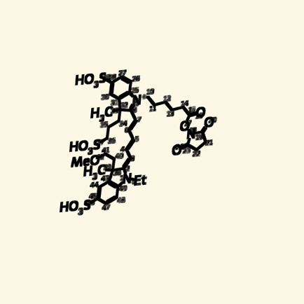 CCN1/C(=C/C=C/C=C/C2=[N+](CCCCCC(=O)ON3C(=O)CCC3=O)c3ccc(S(=O)(=O)O)cc3C2(C)CCCS(=O)(=O)O)C(C)(CCOC)c2cc(S(=O)(=O)O)ccc21